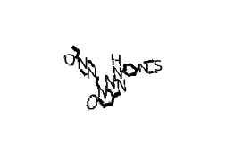 C=CC(=O)N1CCN(CCn2c(=O)ccc3cnc(Nc4ccc(N5CCSCC5)cc4)nc32)CC1